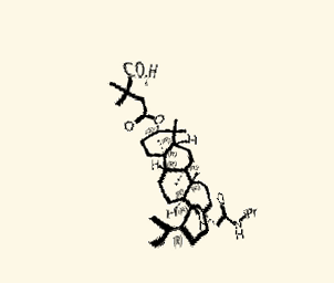 C=C(C)[C@@H]1CC[C@]2(CC(=O)NC(C)C)CC[C@]3(C)[C@H](CC[C@@H]4[C@@]5(C)CC[C@H](OC(=O)CC(C)(C)C(=O)O)C(C)(C)[C@@H]5CC[C@]43C)[C@@H]12